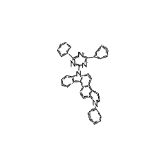 c1ccc(-c2nc(-c3ccccc3)nc(-n3c4ccccc4c4c5ccc6c(ccn6-c6ccccc6)c5ccc43)n2)cc1